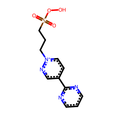 O=S(=O)(CCC[n+]1ccc(-c2ncccn2)cn1)OO